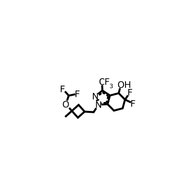 CC1(OC(F)F)CC(Cn2nc(C(F)(F)F)c3c2CCC(F)(F)C3O)C1